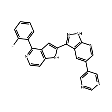 Fc1ccccc1-c1nccc2[nH]c(-c3n[nH]c4ncc(-c5cncnc5)cc34)cc12